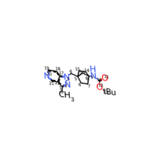 Cc1nn(CC23CCC(NC(=O)OC(C)(C)C)(CC2)C3)c2ccncc12